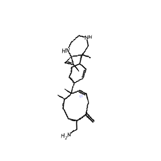 C=C1C/C=C\C(C)(C2C=CC(C3(C)CNCCNC34C=C4C)CC2)C(C)CCC1CN